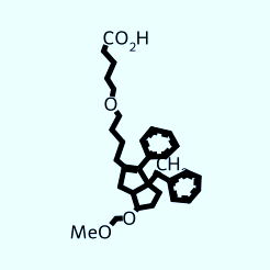 C=C(c1ccccc1)C12CCC(OCOC)C1CC(CCCCOCCCCC(=O)O)=C2c1ccccc1